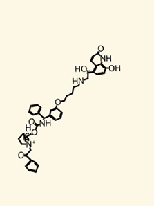 O=C(NC(c1ccccc1)c1cccc(OCCCCCNC[C@H](O)c2ccc(O)c3[nH]c(=O)ccc23)c1)O[C@H]1C[N+]2(CC(=O)c3ccccc3)CCC1CC2